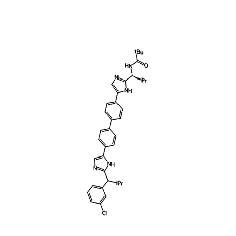 CC(C)C(c1cccc(Cl)c1)c1ncc(-c2ccc(-c3ccc(-c4cnc([C@@H](NC(=O)C(C)(C)C)C(C)C)[nH]4)cc3)cc2)[nH]1